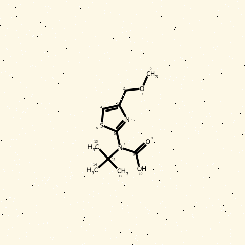 COCc1csc(N(C(=O)O)C(C)(C)C)n1